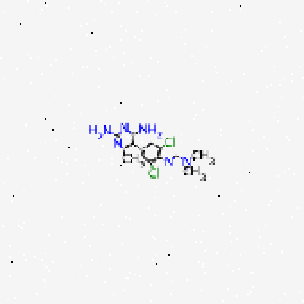 Cc1nc(N)nc(N)c1-c1cc(Cl)c(/N=C/N(C)C)c(Cl)c1